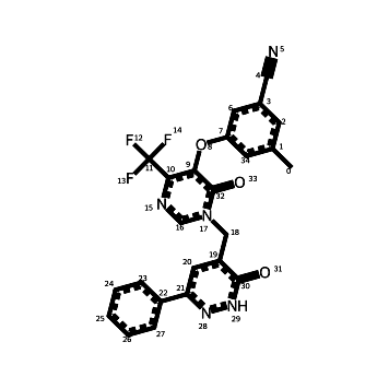 Cc1cc(C#N)cc(Oc2c(C(F)(F)F)ncn(Cc3cc(-c4ccccc4)n[nH]c3=O)c2=O)c1